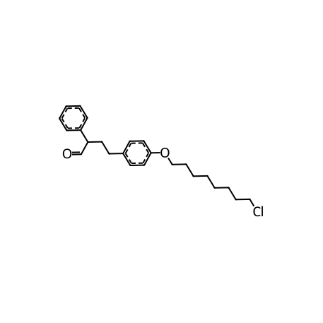 O=CC(CCc1ccc(OCCCCCCCCCl)cc1)c1ccccc1